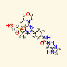 C[C@H]1COCCN1c1cc(C2(S(=O)(=O)CCO)CC2)nc(-c2ccc(NC(=O)NCc3ncc[nH]3)cc2)n1